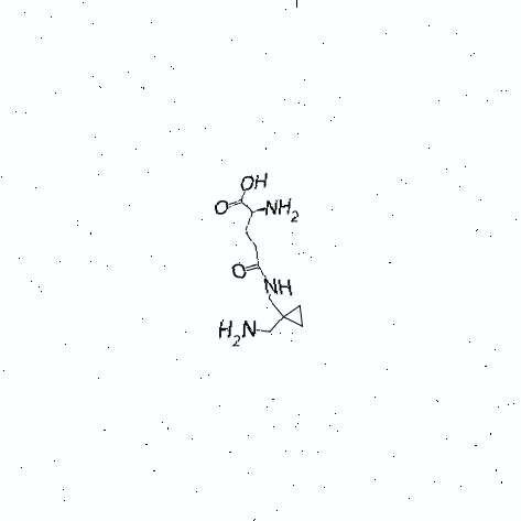 NCC1(CNC(=O)CC[C@H](N)C(=O)O)CC1